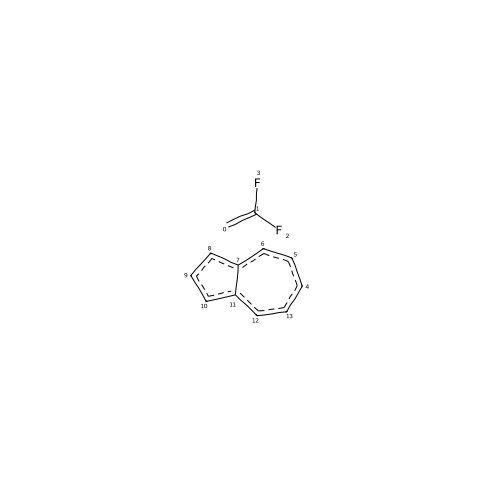 C=C(F)F.c1ccc2cccc-2cc1